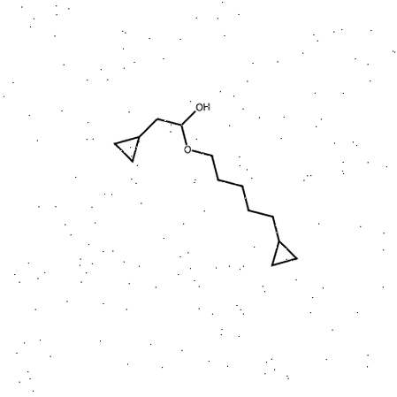 OC(CC1CC1)OCCCCCC1CC1